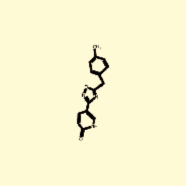 Cc1ccc(Cc2nc(-c3ccc(=O)[nH]c3)no2)cc1